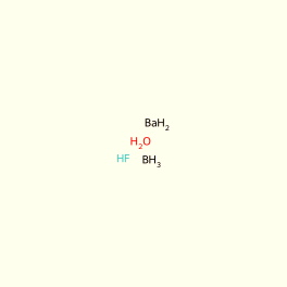 B.F.O.[BaH2]